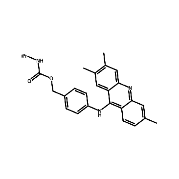 Cc1ccc2c(Nc3ccc(COC(=O)NC(C)C)cc3)c3cc(C)c(C)cc3nc2c1